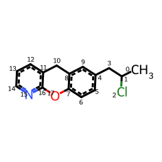 CC(Cl)Cc1ccc2c(c1)Cc1cccnc1O2